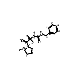 C[C@@H]1CCCN1C(=O)C(C)(C)NC(=O)OCc1ccccc1